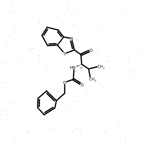 CC(C)[C@H](NC(=O)OCc1ccccc1)C(=O)c1nc2ccccc2s1